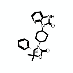 CC1(C)OC(=O)N([C@H]2CC[C@H](n3c(=O)[nH]c4cccnc43)CC2)[C@H]1c1ccccc1